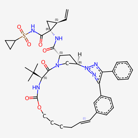 C=C[C@@H]1C[C@]1(NC(=O)[C@@H]1C[C@@H]2CN1C(=O)[C@H](C(C)(C)C)NC(=O)OCCCC/C=C/c1cccc(c1)-c1nn2nc1-c1ccccc1)C(=O)NS(=O)(=O)C1CC1